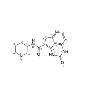 O=C1Nc2ccnc3sc(C(=O)NC4CCCNC4)c(c23)N1